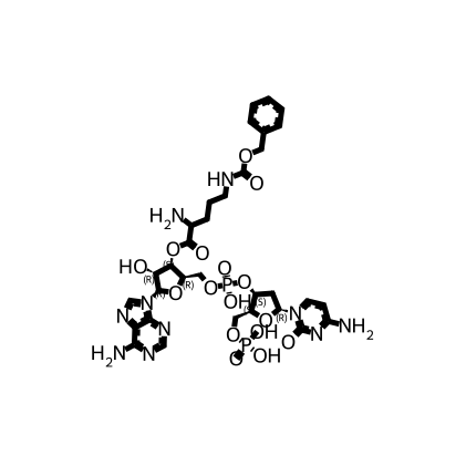 Nc1ccn([C@H]2C[C@H](OP(=O)(O)OC[C@H]3O[C@@H](n4cnc5c(N)ncnc54)[C@H](O)[C@@H]3OC(=O)C(N)CCCNC(=O)OCc3ccccc3)[C@H](COP(=O)(O)O)O2)c(=O)n1